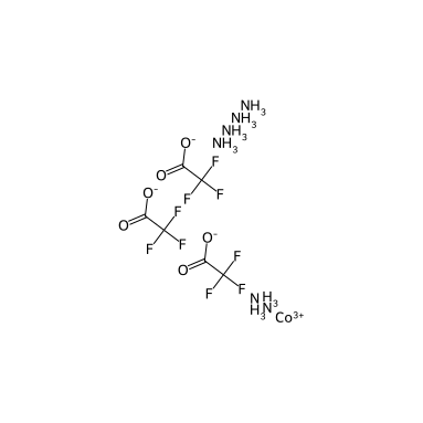 N.N.N.N.N.N.O=C([O-])C(F)(F)F.O=C([O-])C(F)(F)F.O=C([O-])C(F)(F)F.[Co+3]